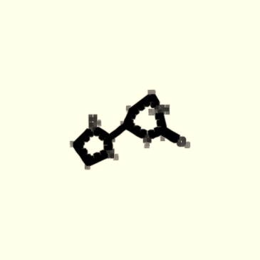 O=c1nc(-c2ncc[nH]2)cc[nH]1